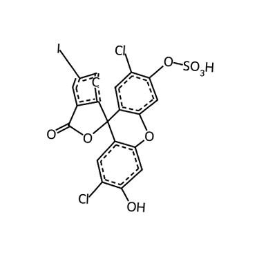 O=C1OC2(c3cc(Cl)c(O)cc3Oc3cc(OS(=O)(=O)O)c(Cl)cc32)c2ccc(I)cc21